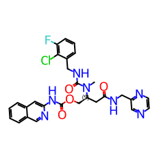 CN(C(=O)NCc1cccc(F)c1Cl)[C@H](COC(=O)Nc1cc2ccccc2cn1)CC(=O)NCc1cnccn1